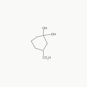 O=C(O)C1CCCC(O)(O)C1